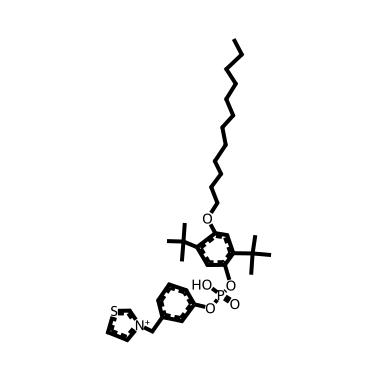 CCCCCCCCCCCCOc1cc(C(C)(C)C)c(OP(=O)(O)Oc2cccc(C[n+]3ccsc3)c2)cc1C(C)(C)C